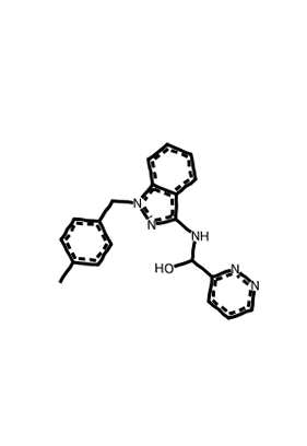 Cc1ccc(Cn2nc(NC(O)c3cccnn3)c3ccccc32)cc1